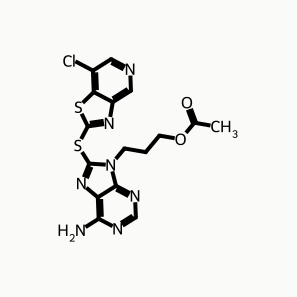 CC(=O)OCCCn1c(Sc2nc3cncc(Cl)c3s2)nc2c(N)ncnc21